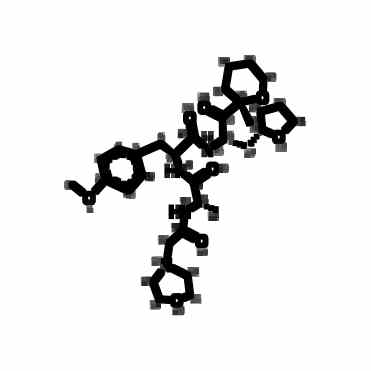 COc1ccc(C[C@H](NC(=O)[C@H](C)NC(=O)CN2CCOCC2)C(=O)N[C@@H](C[C@@H]2CCCO2)C(=O)[C@]2(C)CCCCO2)cc1